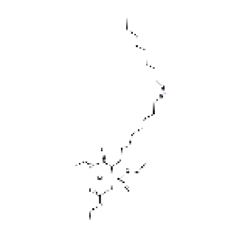 CCCCCCCC/C=C\CCCCCCCCC(C(=O)OCC)C(O)(CC(=O)OCC)C(=O)OCC